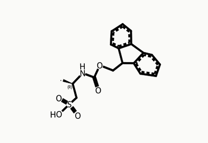 [CH2][C@H](CS(=O)(=O)O)NC(=O)OCC1c2ccccc2-c2ccccc21